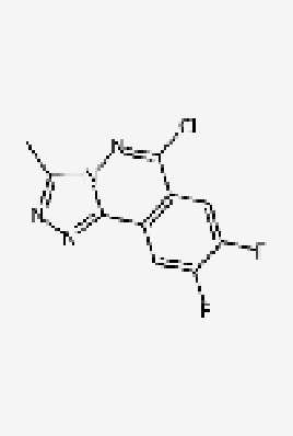 Cc1nnc2c3cc(F)c(F)cc3c(Cl)nn12